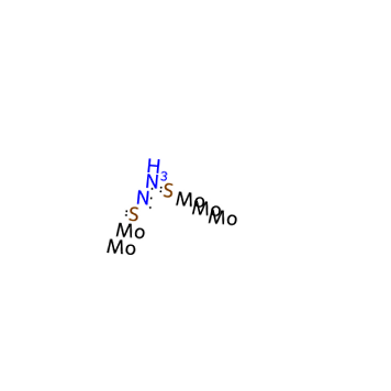 N.[Mo].[Mo].[Mo].[Mo].[Mo].[N].[S].[S]